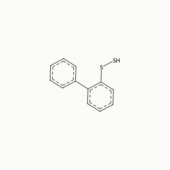 SSc1ccccc1-c1ccccc1